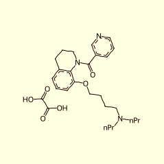 CCCN(CCC)CCCCOc1cccc2c1N(C(=O)c1cccnc1)CCC2.O=C(O)C(=O)O